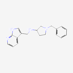 c1ccc(CN2CCC(NCc3c[nH]c4ncccc34)C2)cc1